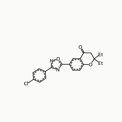 CCC1(CC)CC(=O)c2cc(-c3nc(-c4ccc(Cl)cc4)no3)ccc2O1